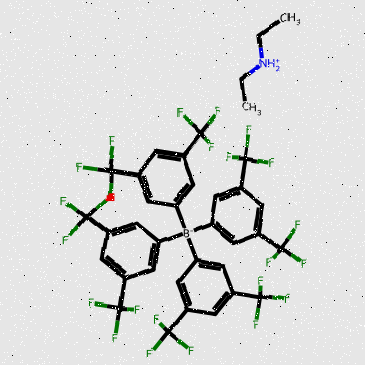 CC[NH2+]CC.FC(F)(F)c1cc([B-](c2cc(C(F)(F)F)cc(C(F)(F)F)c2)(c2cc(C(F)(F)F)cc(C(F)(F)F)c2)c2cc(C(F)(F)F)cc(C(F)(F)F)c2)cc(C(F)(F)F)c1